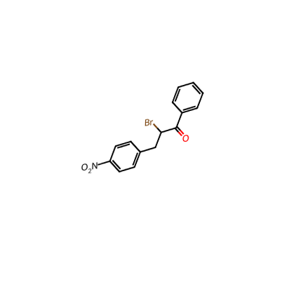 O=C(c1ccccc1)C(Br)Cc1ccc([N+](=O)[O-])cc1